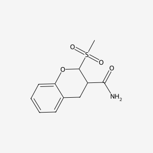 CS(=O)(=O)C1Oc2ccccc2CC1C(N)=O